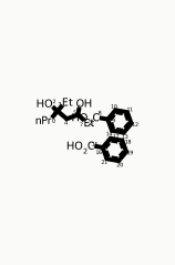 CCCC(O)(CC)CC(O)CC.O=C(O)c1ccccc1.O=C(O)c1ccccc1